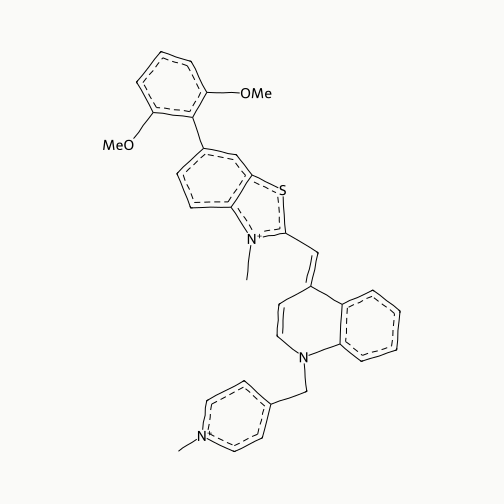 COc1cccc(OC)c1-c1ccc2c(c1)sc(C=C1C=CN(Cc3cc[n+](C)cc3)c3ccccc31)[n+]2C